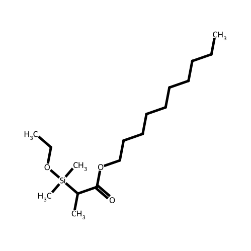 CCCCCCCCCCOC(=O)C(C)[Si](C)(C)OCC